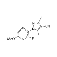 COc1ccc(-n2nc(C)c(C#N)c2I)c(F)c1